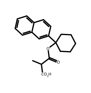 CC(C(=O)O)C(=O)OC1(c2ccc3ccccc3c2)CCCCC1